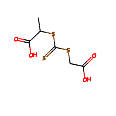 CC(SC(=S)SCC(=O)O)C(=O)O